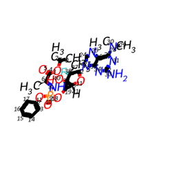 CC(C)OC(=O)[C@@H](C)N[P@@](=O)(Oc1ccccc1)OC1[C@H]2O[C@@H](n3cnc4c(N(C)C)nc(N)nc43)[C@](C)(F)[C@@]12O